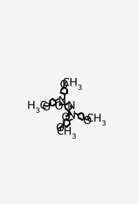 COc1ccc(CN(Cc2ccc(OC)cc2)C(=O)c2cncc(C(=O)N(Cc3ccc(OC)cc3)Cc3ccc(OC)cc3)c2)cc1